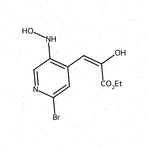 CCOC(=O)/C(O)=C\c1cc(Br)ncc1NO